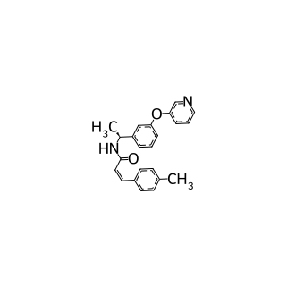 Cc1ccc(/C=C\C(=O)N[C@@H](C)c2cccc(Oc3cccnc3)c2)cc1